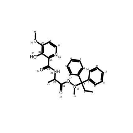 CCC(c1ccccc1)(c1ccccc1)N(C)OC(=O)C(C)NC(=O)c1nccc(OC)c1O